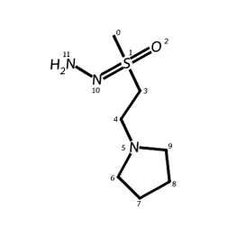 CS(=O)(CCN1CCCC1)=NN